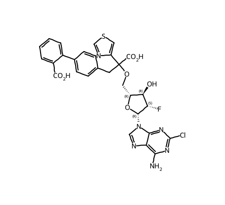 Nc1nc(Cl)nc2c1ncn2[C@@H]1O[C@H](COC(Cc2ccc(-c3ccccc3C(=O)O)cc2)(C(=O)O)c2cscn2)[C@@H](O)[C@@H]1F